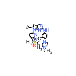 COc1cc(Nc2ncc3cc(C4CC4)n(-c4cccc(N=S(C)(C)=O)n4)c3n2)ccc1N1CCN(C)CC1